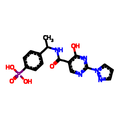 CC(NC(=O)c1cnc(-n2cccn2)nc1O)c1ccc(P(=O)(O)O)cc1